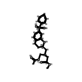 COC(=O)CN(COC(C)=O)C[C@H]1CCc2ccc(S(=O)(=O)c3ccccc3)cc2O1